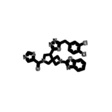 O=C(c1cncs1)N1CC(c2nnc(Cc3ccc(Cl)c(Cl)c3)o2)C2(C1)CN(c1nc3ccccc3o1)C2